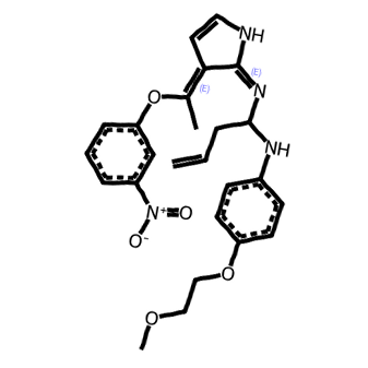 C=CCC(/N=C1/NC=C/C1=C(/C)Oc1cccc([N+](=O)[O-])c1)Nc1ccc(OCCOC)cc1